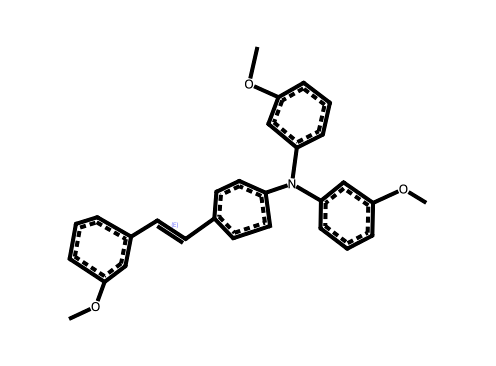 COc1cccc(/C=C/c2ccc(N(c3cccc(OC)c3)c3cccc(OC)c3)cc2)c1